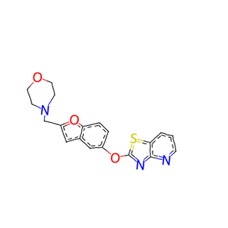 c1cnc2nc(Oc3ccc4oc(CN5CCOCC5)cc4c3)sc2c1